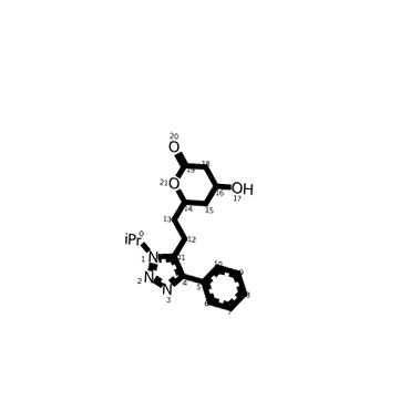 CC(C)n1nnc(-c2ccccc2)c1CCC1CC(O)CC(=O)O1